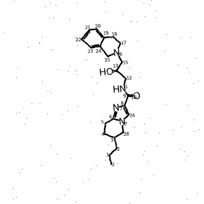 CCCC1CCc2nc(C(=O)NCC(O)CN3CCc4ccccc4C3)cn2C1